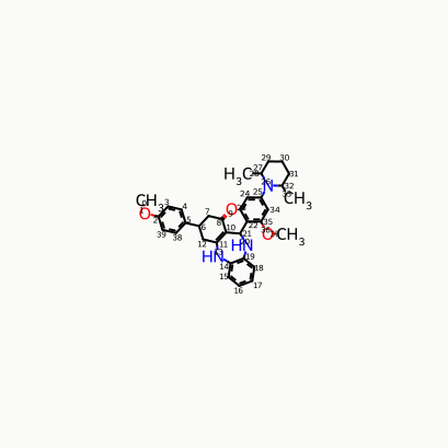 COc1ccc(C2CC(=O)C3=C(C2)Nc2ccccc2NC3c2ccc(N3C(C)CCCC3C)cc2OC)cc1